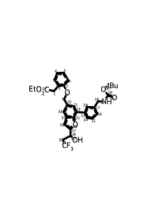 CCOC(=O)Cc1ccccc1OCc1cc(-c2cccc(CNC(=O)OC(C)(C)C)c2)c2oc(C(O)CC(F)(F)F)cc2c1